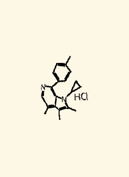 Cc1ccc(-c2ncc(C)c3c(C)c(C)n(C4CC4)c23)cc1.Cl